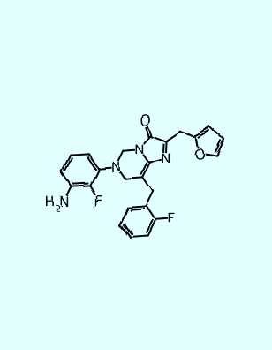 Nc1cccc(N2CC(Cc3ccccc3F)=C3N=C(Cc4ccco4)C(=O)N3C2)c1F